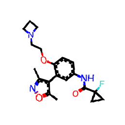 Cc1noc(C)c1-c1cc(NC(=O)C2(F)CC2)ccc1OCCN1CCC1